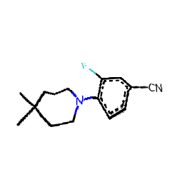 CC1(C)CCN(c2ccc(C#N)cc2F)CC1